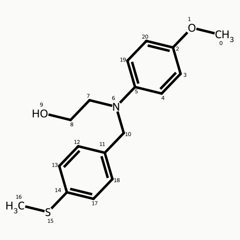 COc1ccc(N(CCO)Cc2ccc(SC)cc2)cc1